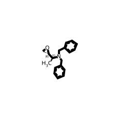 C[C@@H]([C@@H]1CO1)N(Cc1ccccc1)Cc1ccccc1